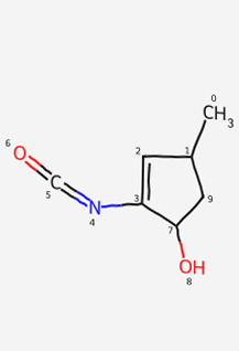 CC1C=C(N=C=O)C(O)C1